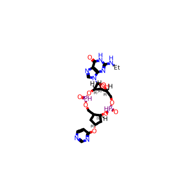 CCNc1nc2c(ncn2[C@@H]2O[C@@H]3CO[PH](=O)O[C@H]4C[C@H](Oc5ccncn5)CC4CO[PH](=O)O[C@@H]2[C@@H]3O)c(=O)[nH]1